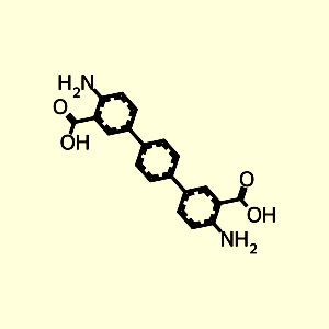 Nc1ccc(-c2ccc(-c3ccc(N)c(C(=O)O)c3)cc2)cc1C(=O)O